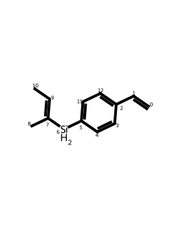 C=Cc1ccc([SiH2]C(C)=CC)cc1